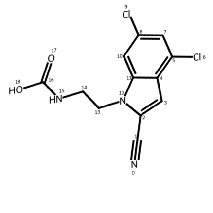 N#Cc1cc2c(Cl)cc(Cl)cc2n1CCNC(=O)O